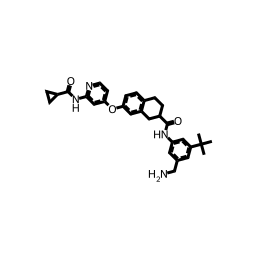 CC(C)(C)c1cc(CN)cc(NC(=O)C2CCc3ccc(Oc4ccnc(NC(=O)C5CC5)c4)cc3C2)c1